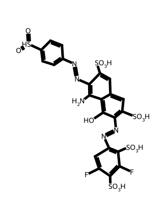 Nc1c(/N=N/c2ccc([SH](=O)=O)cc2)c(S(=O)(=O)O)cc2cc(S(=O)(=O)O)c(/N=N/c3cc(F)c(S(=O)(=O)O)c(F)c3S(=O)(=O)O)c(O)c12